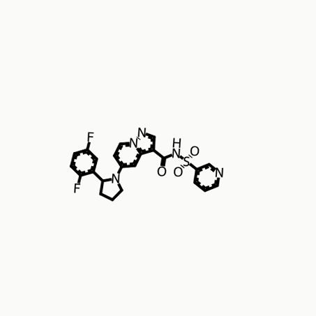 O=C(NS(=O)(=O)c1cccnc1)c1cnn2ccc(N3CCCC3c3cc(F)ccc3F)cc12